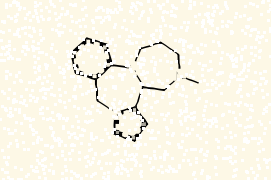 CN1CCCN2c3ccccc3Cn3cccc3C2C1